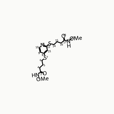 CONC(=O)CCCSc1ccnc(SCCCC(=O)NOC)c1